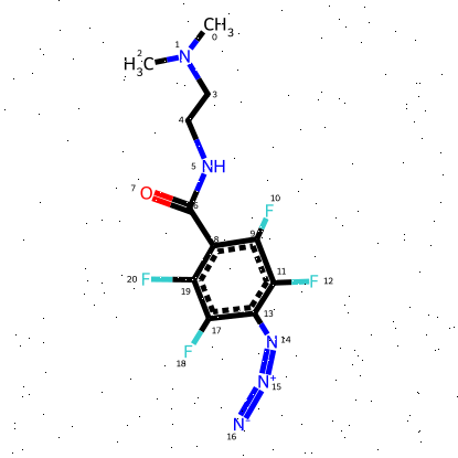 CN(C)CCNC(=O)c1c(F)c(F)c(N=[N+]=[N-])c(F)c1F